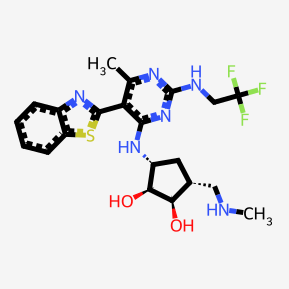 CNC[C@H]1C[C@@H](Nc2nc(NCC(F)(F)F)nc(C)c2-c2nc3ccccc3s2)[C@H](O)[C@@H]1O